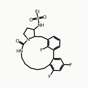 CCS(=O)(=O)NC1CCN2C(=O)NCCCCCc3c(F)cc(F)cc3-c3cccc(c3F)CC12